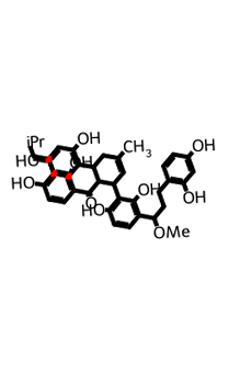 COC(CCc1ccc(O)cc1O)c1ccc(O)c(C2C=C(C)CC(c3ccc(O)cc3O)C2C(=O)c2ccc(O)c(/C=C/C(C)C)c2O)c1O